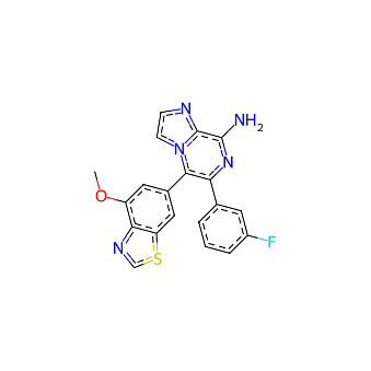 COc1cc(-c2c(-c3cccc(F)c3)nc(N)c3nccn23)cc2scnc12